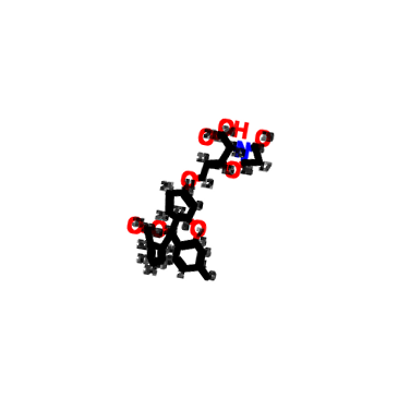 Cc1ccc2c(c1)Oc1cc(OC/C=C3\OC4CC(=O)N4C3C(=O)O)ccc1C21OC(=O)c2ccccc21